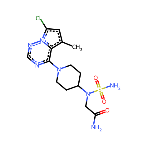 Cc1cc(Cl)n2ncnc(N3CCC(N(CC(N)=O)S(N)(=O)=O)CC3)c12